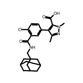 Cc1nn(C)c(C(=O)O)c1-c1ccc(Cl)c(C(=O)NCC23CC4CC(CC(C4)C2)C3)c1